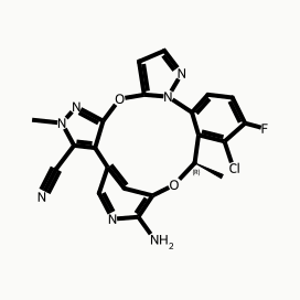 C[C@H]1Oc2cc(cnc2N)-c2c(nn(C)c2C#N)Oc2ccnn2-c2ccc(F)c(Cl)c21